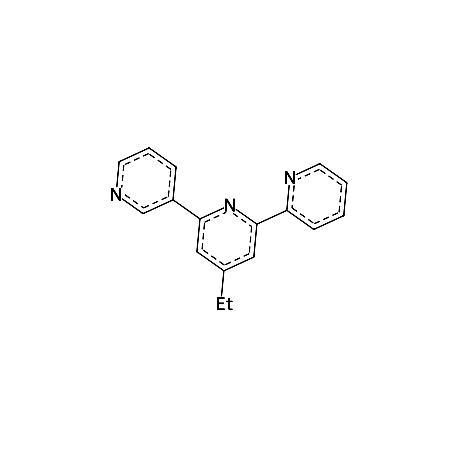 CCc1cc(-c2cccnc2)nc(-c2ccccn2)c1